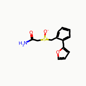 NC(=O)C[S+]([O-])Cc1ccccc1-c1ccco1